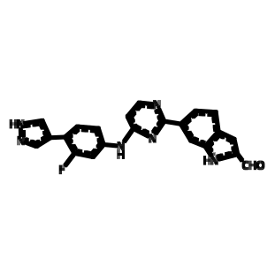 O=Cc1cc2ccc(-c3nccc(Nc4ccc(-c5cn[nH]c5)c(F)c4)n3)cc2[nH]1